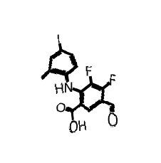 Cc1cc(I)ccc1Nc1c(C(=O)O)cc(C=O)c(F)c1F